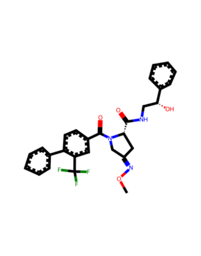 CON=C1C[C@@H](C(=O)NC[C@@H](O)c2ccccc2)N(C(=O)c2ccc(-c3ccccc3)c(C(F)(F)F)c2)C1